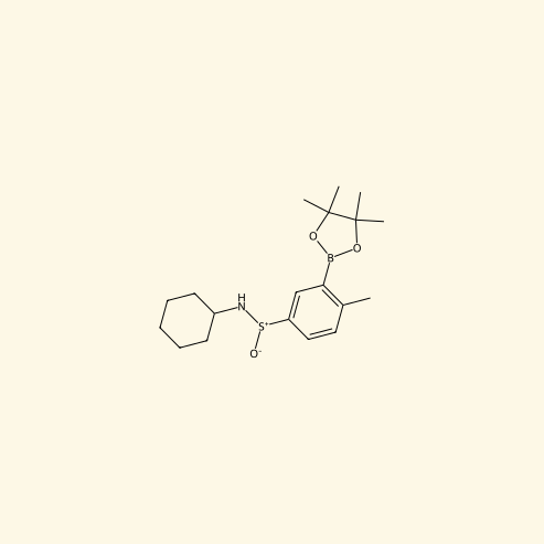 Cc1ccc([S+]([O-])NC2CCCCC2)cc1B1OC(C)(C)C(C)(C)O1